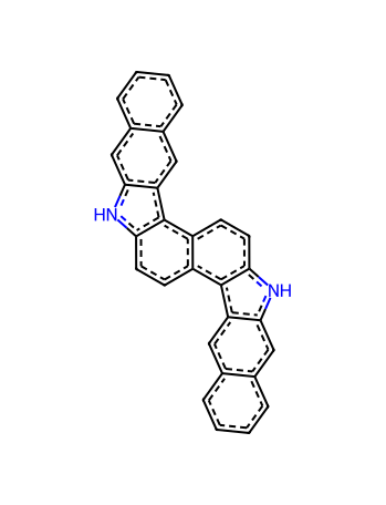 c1ccc2cc3c(cc2c1)[nH]c1ccc2c(ccc4[nH]c5cc6ccccc6cc5c42)c13